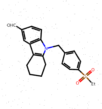 CCS(=O)(=O)c1ccc(Cn2c3c(c4cc([C]=O)ccc42)CCCC3)cc1